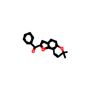 CC1(C)C=Cc2c(ccc3cc(C(=O)c4ccccc4)oc23)O1